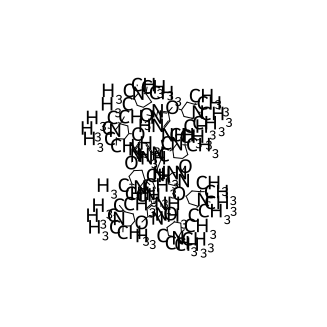 CN1C(C)(C)CC(OC2=NN(OC3CC(C)(C)N(C)C(C)(C)C3)NC(NCCN(CCN(CCNC3=CC(OC4CC(C)(C)N(C)C(C)(C)C4)=NN(OC4CC(C)(C)N(C)C(C)(C)C4)N3)C3=CC(OC4CC(C)(C)N(C)C(C)(C)C4)=NN(OC4CC(C)(C)N(C)C(C)(C)C4)N3)C3=CC(OC4CC(C)(C)N(C)C(C)(C)C4)=NN(OC4CC(C)(C)N(C)C(C)(C)C4)N3)=C2)CC1(C)C